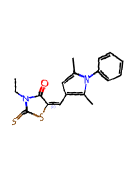 CCN1C(=O)/C(=C\c2cc(C)n(-c3ccccc3)c2C)SC1=S